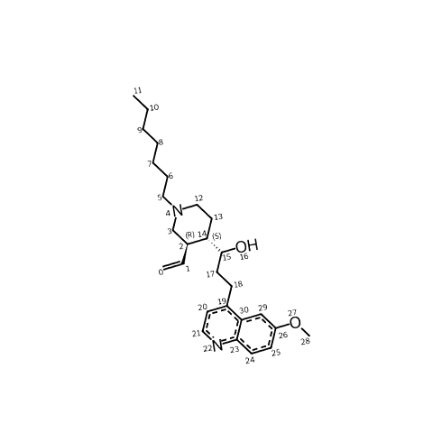 C=C[C@H]1CN(CCCCCCC)CC[C@@H]1C(O)CCc1ccnc2ccc(OC)cc12